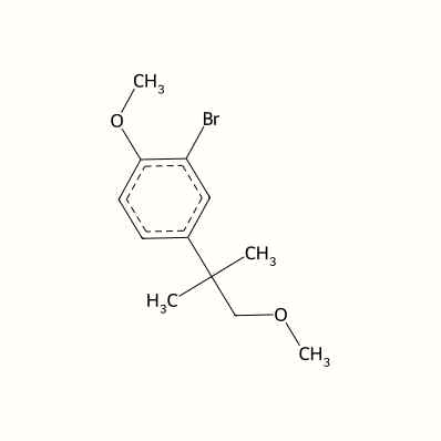 COCC(C)(C)c1ccc(OC)c(Br)c1